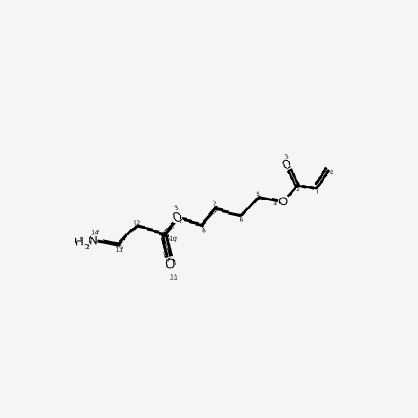 C=CC(=O)OCCCCOC(=O)CCN